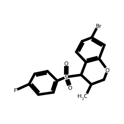 [CH2]C1COc2cc(Br)ccc2C1S(=O)(=O)c1ccc(F)cc1